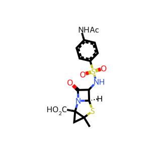 CC(=O)Nc1ccc(S(=O)(=O)NC2C(=O)N3[C@@H]2SC2(C)CC32C(=O)O)cc1